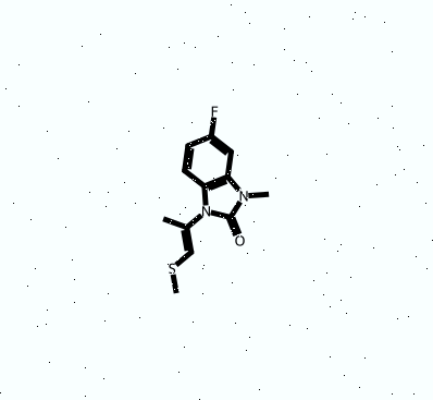 CSC=C(C)n1c(=O)n(C)c2cc(F)ccc21